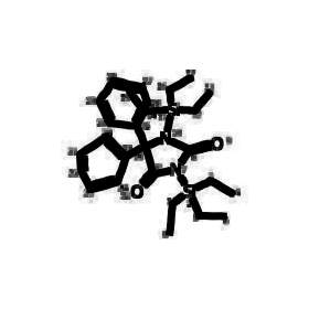 CC[Si](CC)(CC)N1C(=O)N([Si](CC)(CC)CC)C(c2ccccc2)(c2ccccc2)C1=O